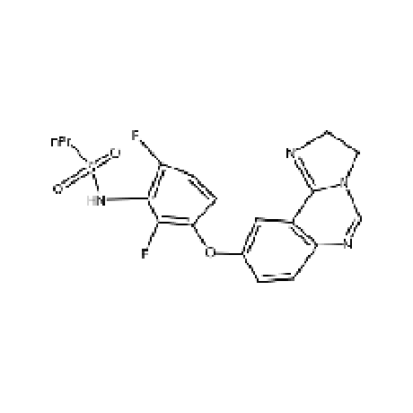 CCCS(=O)(=O)Nc1c(F)ccc(Oc2ccc3c(c2)C2=NCCN2C=N3)c1F